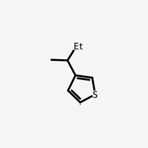 CCC(C)c1c[c]sc1